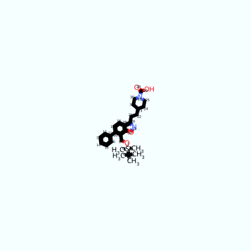 CC(C)(C)[Si](C)(C)OCc1c(-c2ccccc2)ccc2c(CCC3CCN(C(=O)O)CC3)noc12